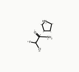 C1CCNC1.NC(=O)C(F)Cl